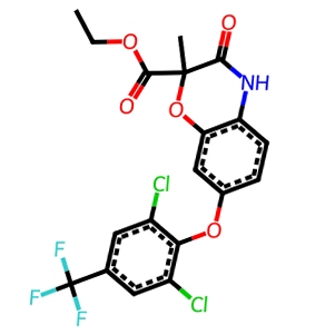 CCOC(=O)C1(C)Oc2cc(Oc3c(Cl)cc(C(F)(F)F)cc3Cl)ccc2NC1=O